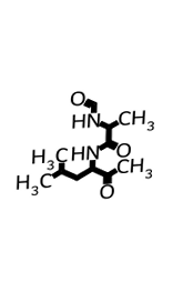 CC(=O)C(CC(C)C)NC(=O)C(C)NC=O